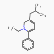 CCN1CC(CC(C)C)=CC=C1c1ccccc1